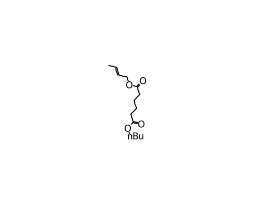 CC=CCOC(=O)CCCCC(=O)OCCCC